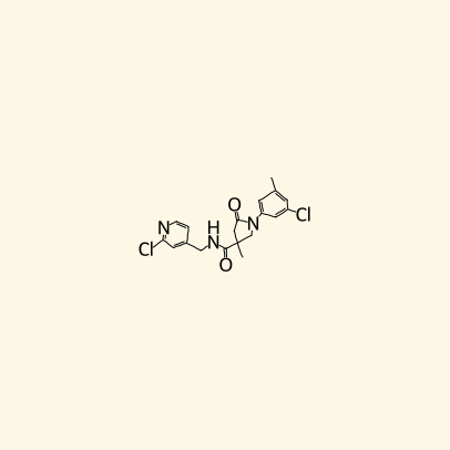 Cc1cc(Cl)cc(N2CC(C)(C(=O)NCc3ccnc(Cl)c3)CC2=O)c1